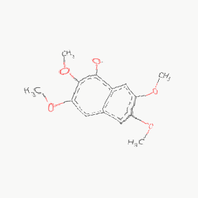 COc1cc2cc(OC)c(OC)c([O])c2cc1OC